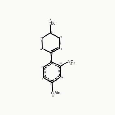 COc1ccc(C2=CCC(C(C)(C)C)CC2)c([N+](=O)[O-])c1